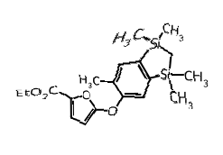 CCOC(=O)c1ccc(Oc2cc3c(cc2C)[Si](C)(C)C[Si]3(C)C)o1